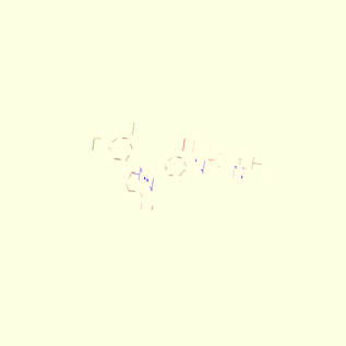 CN1CCCC(CN(C(=O)O)c2cccc(Cn3nc(-c4cc(F)cc(F)c4)ccc3=O)c2)C1